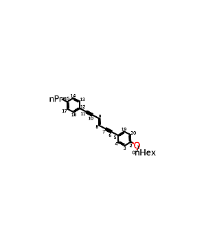 CCCCCCOc1ccc(C#C/C=C/C#Cc2ccc(CCC)cc2)cc1